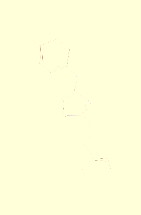 CC=C(C)CSc1nc(Nc2ccc(C)cc2)n[nH]1